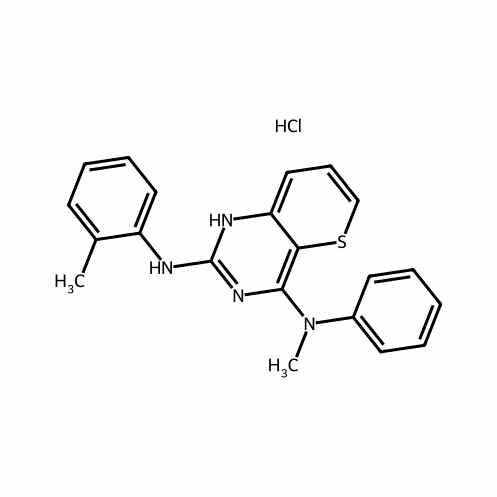 Cc1ccccc1NC1=NC(N(C)c2ccccc2)=C2SC=CC=C2N1.Cl